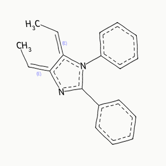 C/C=c1/nc(-c2ccccc2)n(-c2ccccc2)/c1=C/C